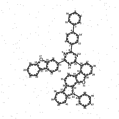 c1ccc(-c2ccc(-c3nc(-c4ccc5c(c4)oc4ccccc45)nc(-c4cccc5oc6c(ccc7c8ccccc8n(-c8ccccc8)c76)c45)n3)cc2)cc1